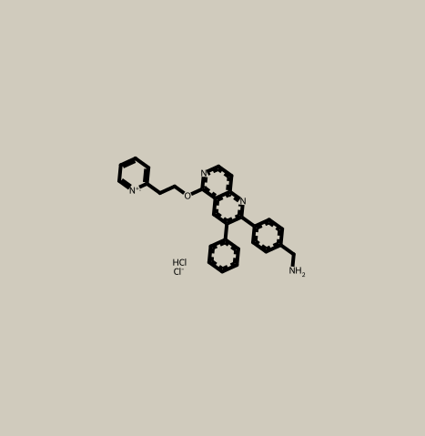 Cl.NCc1ccc(-c2nc3ccnc(OCCC4=CC=CC=[N+]4)c3cc2-c2ccccc2)cc1.[Cl-]